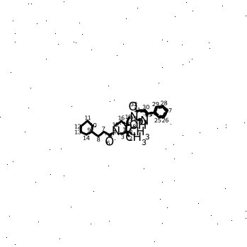 CC1(C)CN(C(=O)CCC2CCCCC2)CCC1(O)Cn1cnc(-c2ccccc2)cc1=O